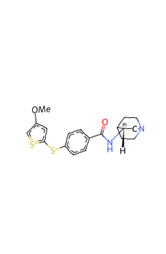 COc1csc(Sc2ccc(C(=O)N[C@H]3CN4CCC3CC4)cc2)c1